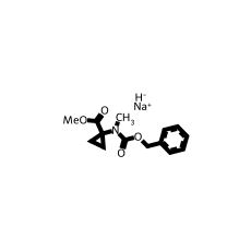 COC(=O)C1(N(C)C(=O)OCc2ccccc2)CC1.[H-].[Na+]